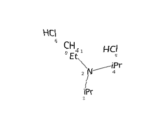 C.CCN(C(C)C)C(C)C.Cl.Cl